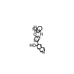 Oc1cc2cnccc2cc1-c1cnc(O[C@@H]2C[C@H]3CCC[C@H](N3)[C@H]2F)cn1